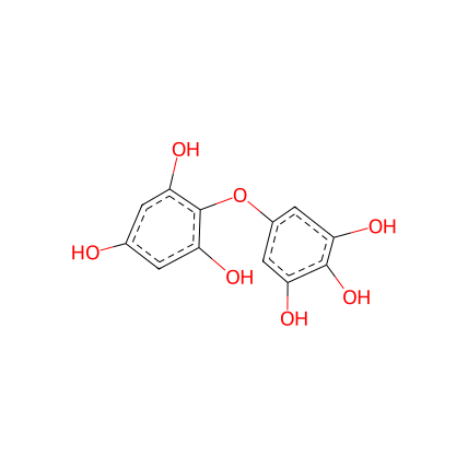 Oc1cc(O)c(Oc2cc(O)c(O)c(O)c2)c(O)c1